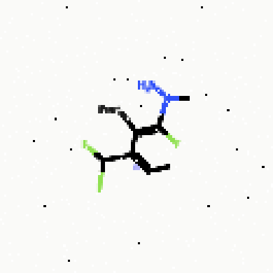 C/C=C(\C(=C(F)N(C)N)C(C)CCC)C(F)F